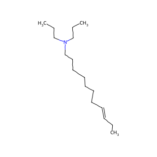 CC/C=C/CCCCCCCN(CCC)CCC